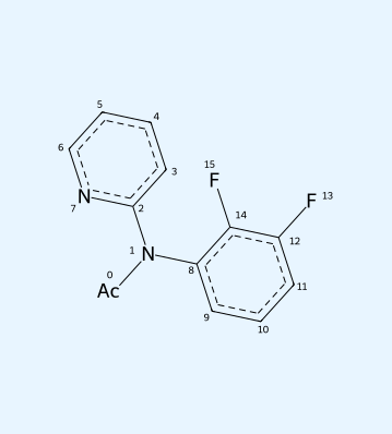 CC(=O)N(c1ccccn1)c1cccc(F)c1F